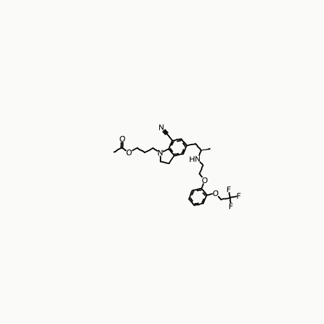 CC(=O)OCCCN1CCc2cc(C[C@@H](C)NCCOc3ccccc3OCC(F)(F)F)cc(C#N)c21